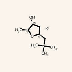 C[C@@H]1O[C@H](C[N+](C)(C)C)C[C@H]1O.[K+]